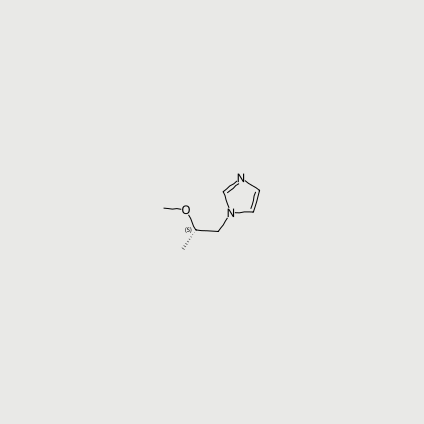 CO[C@@H](C)Cn1ccnc1